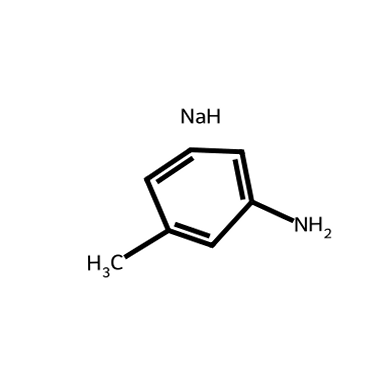 Cc1cccc(N)c1.[NaH]